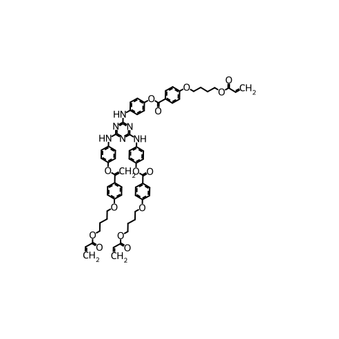 C=CC(=O)OCCCCOc1ccc(C(=C)Oc2ccc(Nc3nc(Nc4ccc(OC(=O)c5ccc(OCCCCOC(=O)C=C)cc5)cc4)nc(Nc4ccc(OC(=O)c5ccc(OCCCCOC(=O)C=C)cc5)cc4)n3)cc2)cc1